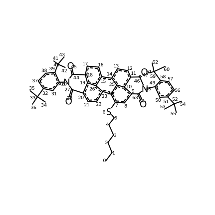 CCCCCCSc1cc2c3c(ccc4c5ccc6c7c(ccc(c1c34)c75)C(=O)N(c1cc(C(C)(C)C)ccc1C(C)(C)C)C6=O)C(=O)N(c1cc(C(C)(C)C)ccc1C(C)(C)C)C2=O